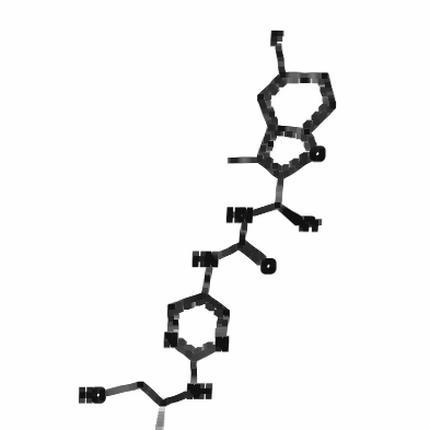 Cc1c([C@H](NC(=O)Nc2cnc(N[C@H](C)CO)nc2)C(C)C)oc2ccc(F)cc12